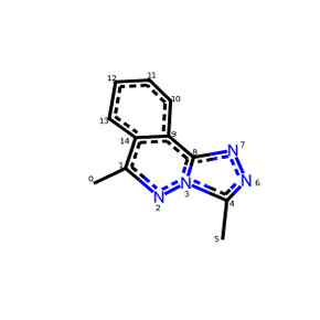 Cc1nn2c(C)nnc2c2ccccc12